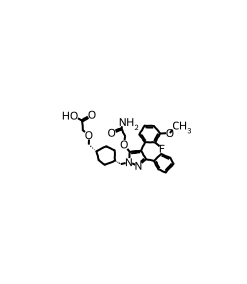 COc1cccc(-c2c(-c3ccccc3)nn(C[C@H]3CC[C@@H](COCC(=O)O)CC3)c2OCC(N)=O)c1F